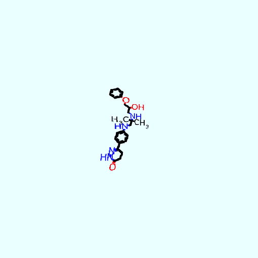 CC(C)(CNc1ccc(C2=NNC(=O)CC2)cc1)NCC(O)COc1ccccc1